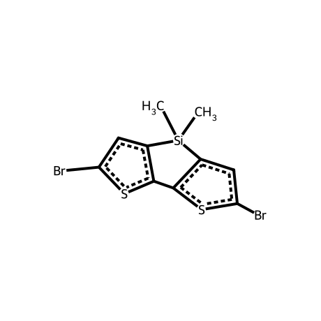 C[Si]1(C)c2cc(Br)sc2-c2sc(Br)cc21